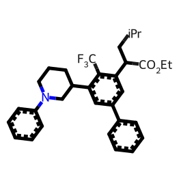 CCOC(=O)C(CC(C)C)c1cc(-c2ccccc2)cc(C2CCCN(c3ccccc3)C2)c1C(F)(F)F